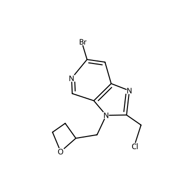 ClCc1nc2cc(Br)ncc2n1CC1CCO1